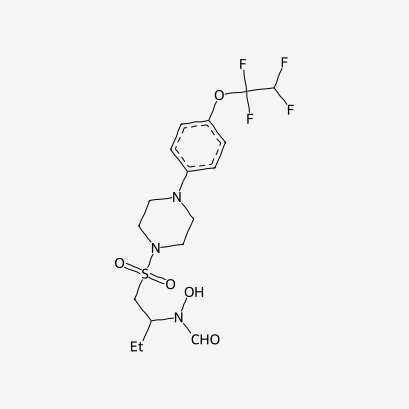 CCC(CS(=O)(=O)N1CCN(c2ccc(OC(F)(F)C(F)F)cc2)CC1)N(O)C=O